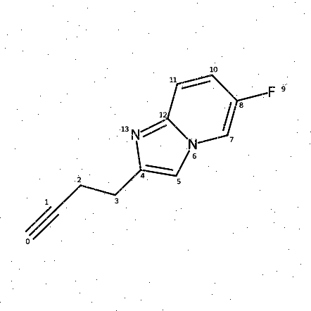 C#CCCc1cn2cc(F)ccc2n1